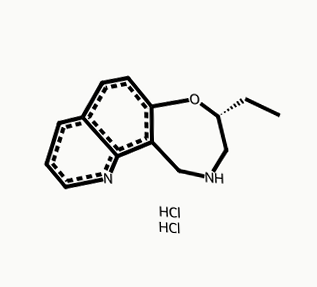 CC[C@@H]1CNCc2c(ccc3cccnc23)O1.Cl.Cl